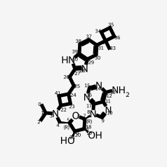 CC(C)N(C[C@H]1O[C@@H](n2cnc3c(N)ncnc32)[C@@H](O)[C@H]1O)C1CC(CCc2nc3cc(C4(C)CCC4)ccc3[nH]2)C1